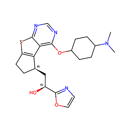 CN(C)C1CCC(Oc2ncnc3sc4c(c23)[C@@H](C[C@H](O)c2ncco2)CC4)CC1